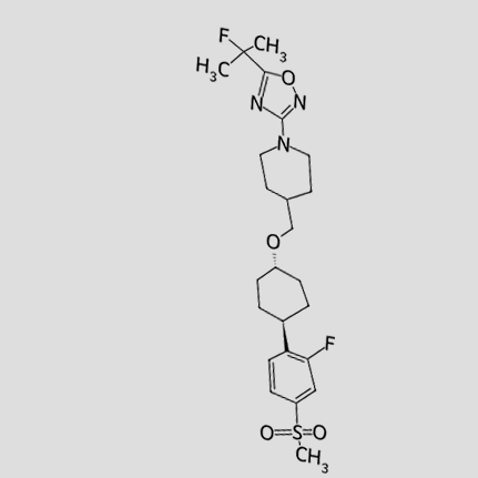 CC(C)(F)c1nc(N2CCC(CO[C@H]3CC[C@H](c4ccc(S(C)(=O)=O)cc4F)CC3)CC2)no1